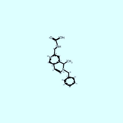 CC1c2cc(CNC(=O)O)ncc2C=CN1Cc1ccccc1